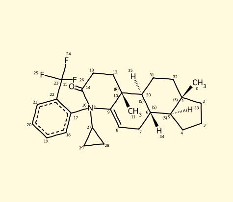 C[C@@]12CCC[C@H]1[C@@H]1CC=C3[C@](C)(CCC(=O)[N+]3(c3ccccc3C(F)(F)F)C3CC3)[C@H]1CC2